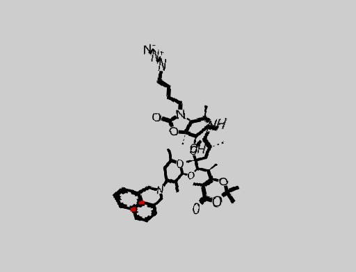 CC[C@@H](O)[C@@]1(C)OC(=O)N(CCCCN=[N+]=[N-])[C@@H]1[C@@H](C)NC[C@H](C)C[C@@](C)(OC)[C@H](O[C@@H]1OC(C)CC(N(Cc2ccccc2)Cc2ccccc2)C1C)[C@@H](C)C1=C(C)C(=O)OC(C)(C)O1